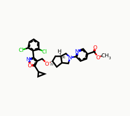 COC(=O)c1ccc(N2CC3C[C@H](OCc4c(-c5c(Cl)cccc5Cl)noc4C4CC4)C[C@H]3C2)nc1